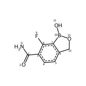 NC(=O)c1ccc2c(c1F)B(O)OC2